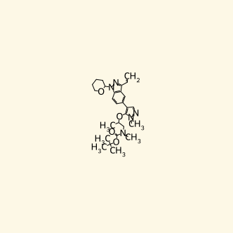 C=Cc1nn(C2CCCCO2)c2ccc(-c3cnn(C)c3OC(C)CN(C)C(=O)OC(C)(C)C)cc12